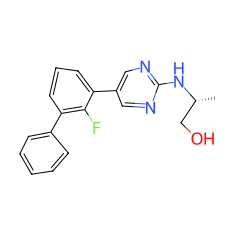 C[C@H](CO)Nc1ncc(-c2cccc(-c3ccccc3)c2F)cn1